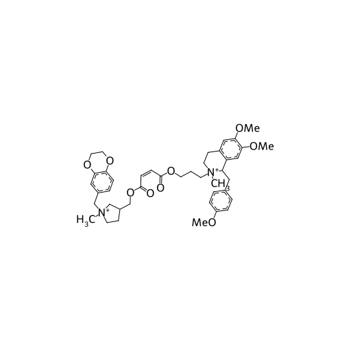 COc1ccc(CC2c3cc(OC)c(OC)cc3CC[N+]2(C)CCCOC(=O)/C=C\C(=O)OCC2CC[N+](C)(Cc3ccc4c(c3)OCCO4)C2)cc1